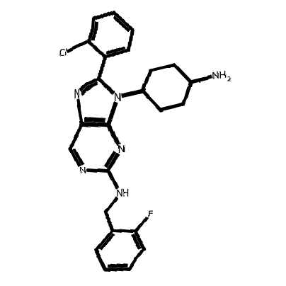 NC1CCC(n2c(-c3ccccc3Cl)nc3cnc(NCc4ccccc4F)nc32)CC1